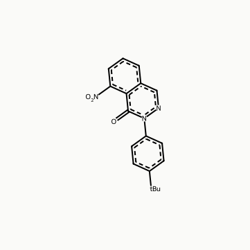 CC(C)(C)c1ccc(-n2ncc3cccc([N+](=O)[O-])c3c2=O)cc1